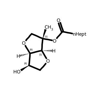 CCCCCCCC(=O)O[C@@]1(C)CO[C@@H]2[C@H](O)CO[C@@H]21